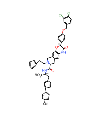 N#Cc1ccc(-c2ccc(C[C@H](NC(=O)C3Cc4cc5c(cc4CN3CCc3ccccc3)O[C@@H](c3ccc(OCc4ccc(Cl)c(Cl)c4)cc3)C(=O)N5)C(=O)O)cc2)cc1